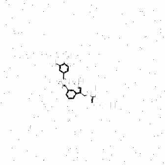 CC(CC(=O)O)NCc1cn(C)c2c(-c3noc(-c4ccc(OC(C)C)c(Cl)c4)n3)cccc12